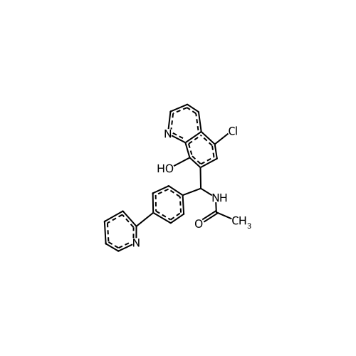 CC(=O)NC(c1ccc(-c2ccccn2)cc1)c1cc(Cl)c2cccnc2c1O